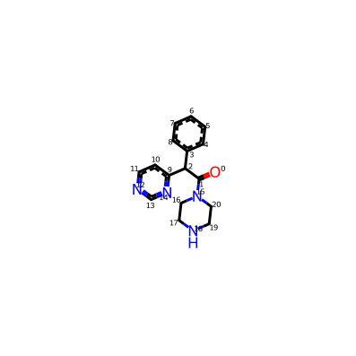 O=C(C(c1ccccc1)c1ccncn1)N1CCNCC1